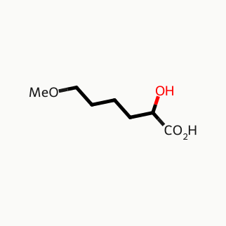 COCCCCC(O)C(=O)O